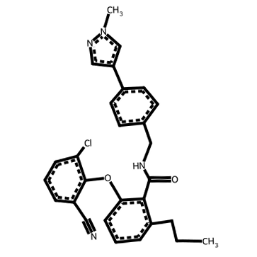 CCCc1cccc(Oc2c(Cl)cccc2C#N)c1C(=O)NCc1ccc(-c2cnn(C)c2)cc1